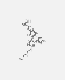 CCCCCNc1ncc(-c2cccc(/C=C/C(=O)O)c2)c(-n2cccc2)n1